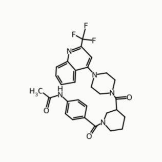 CC(=O)Nc1ccc(C(=O)N2CCCC(C(=O)N3CCN(c4cc(C(F)(F)F)nc5ccccc45)CC3)C2)cc1